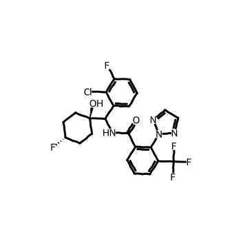 O=C(NC(c1cccc(F)c1Cl)[C@]1(O)CC[C@H](F)CC1)c1cccc(C(F)(F)F)c1-n1nccn1